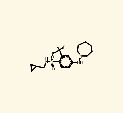 O=S(=O)(NCC1CC1)c1ccc(NN2CCCCCC2)cc1C(F)(F)F